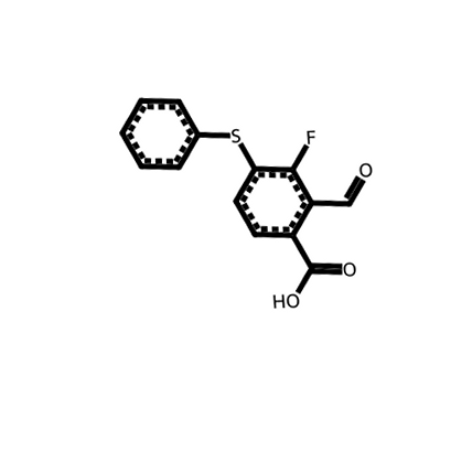 O=Cc1c(C(=O)O)ccc(Sc2ccccc2)c1F